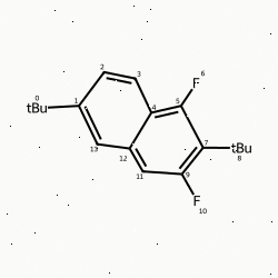 CC(C)(C)c1ccc2c(F)c(C(C)(C)C)c(F)cc2c1